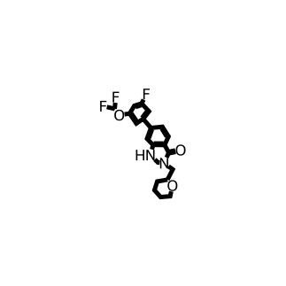 O=C1c2ccc(-c3cc(F)cc(OC(F)F)c3)cc2NCN1CC1CCCCO1